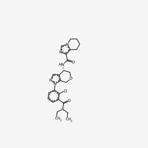 CCN(CC)C(=O)c1cccc(-n2ncc3c2COC[C@H]3NC(=O)c2ncn3c2CCCC3)c1Cl